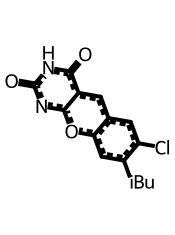 CCC(C)c1cc2oc3nc(=O)[nH]c(=O)c-3cc2cc1Cl